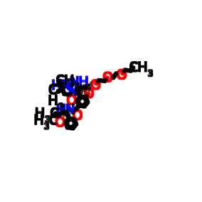 CCCOCCOCCOC[C@H]1C[C@H](N2C(=N)NC(CC)(CC)CC2=O)c2cc(C(=O)N[C@H]3CC(C)(C)Oc4ccccc43)ccc2O1